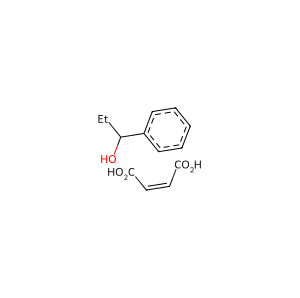 CCC(O)c1ccccc1.O=C(O)/C=C\C(=O)O